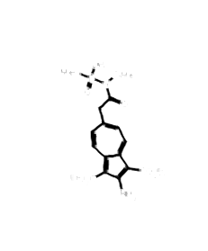 CCOC(=O)c1c2ccc(CC(=O)N(OC)P(=O)(O)OC)ccc-2c(C(=O)OCC)c1N